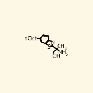 CCCCCCCCc1ccc2nc(C(C)(N)CO)sc2c1